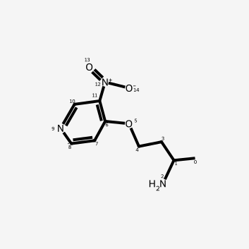 CC(N)CCOc1c[c]ncc1[N+](=O)[O-]